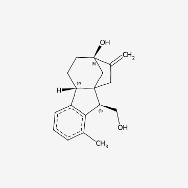 C=C1CC23C[C@]1(O)CC[C@H]2c1cccc(C)c1[C@@H]3CO